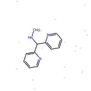 O=CNC(c1ccccn1)c1ccccn1